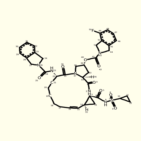 O=C1N[C@]2(C(=O)NS(=O)(=O)C3CC3)C[C@H]2/C=C\CCCCC[C@H](NC(=O)N2Cc3ccccc3C2)C(=O)N2C[C@H](OC(=O)N3Cc4cccc(F)c4C3)C[C@@H]12